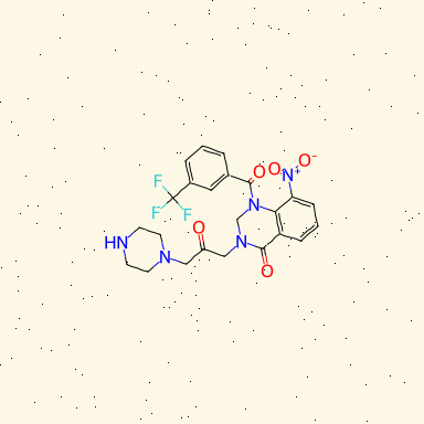 O=C(CN1CCNCC1)CN1CN(C(=O)c2cccc(C(F)(F)F)c2)c2c(cccc2[N+](=O)[O-])C1=O